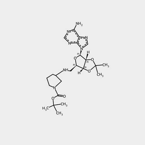 CC(C)(C)OC(=O)N1CCCC(NC[C@H]2O[C@@H](n3cnc4c(N)ncnc43)[C@@H]3OC(C)(C)O[C@@H]32)C1